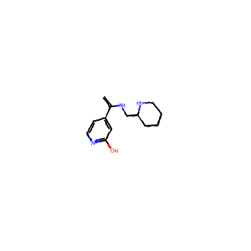 C=C(NCC1CCCCN1)c1ccnc(O)c1